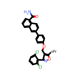 CCCc1onc(-c2c(Cl)cccc2Cl)c1COc1ccc(-c2ccc3c(C(N)=O)cccc3c2)cc1